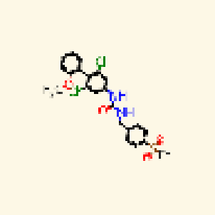 CCS(=O)(=O)c1ccc(CNC(=O)Nc2cc(Cl)c(-c3ccccc3OC(F)(F)F)c(Cl)c2)cc1